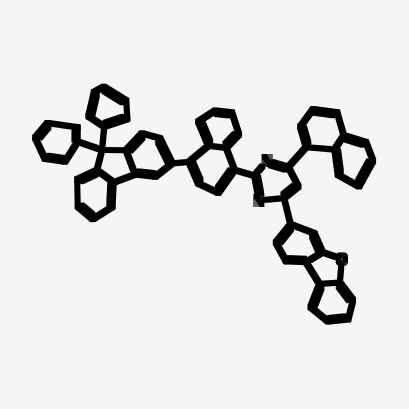 c1ccc(C2(c3ccccc3)c3ccccc3-c3cc(-c4ccc(-c5nc(-c6ccc7c(c6)oc6ccccc67)cc(-c6cccc7ccccc67)n5)c5ccccc45)ccc32)cc1